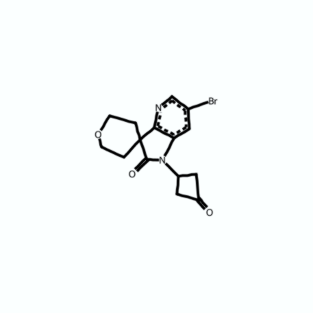 O=C1CC(N2C(=O)C3(CCOCC3)c3ncc(Br)cc32)C1